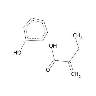 C=C(CC)C(=O)O.Oc1ccccc1